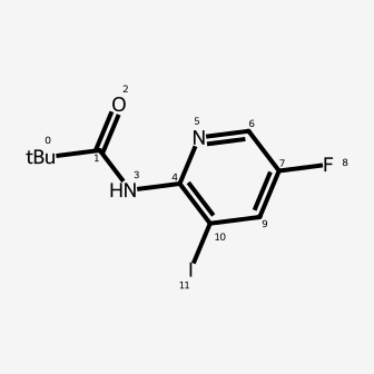 CC(C)(C)C(=O)Nc1ncc(F)cc1I